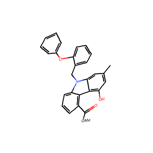 COC(=O)c1cccc2c1c1c(O)cc(C)cc1n2Cc1ccccc1Oc1ccccc1